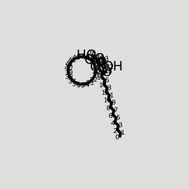 CCCCCCCCCCCCCCCCCC(=O)O[C@@H]1[C@@H](O)CO[C@@H]1C1(CO)OCCCCCCCCCCCCCCCCO1